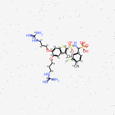 Cc1c(S(=O)(=O)NC(c2ccc(C#N)c(F)c2)P(=O)(O)O)sc2cc(OCCCNC(=N)N)c(OCCCNC(=N)N)cc12